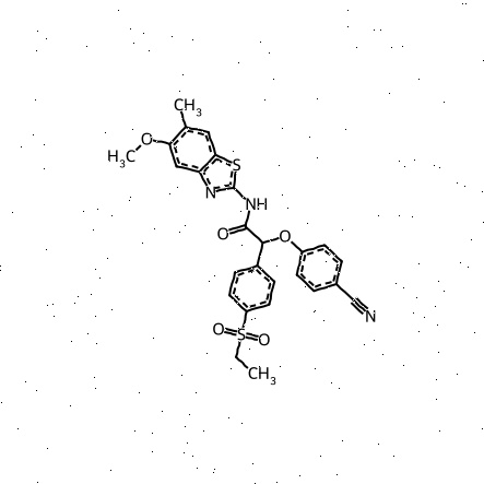 CCS(=O)(=O)c1ccc(C(Oc2ccc(C#N)cc2)C(=O)Nc2nc3cc(OC)c(C)cc3s2)cc1